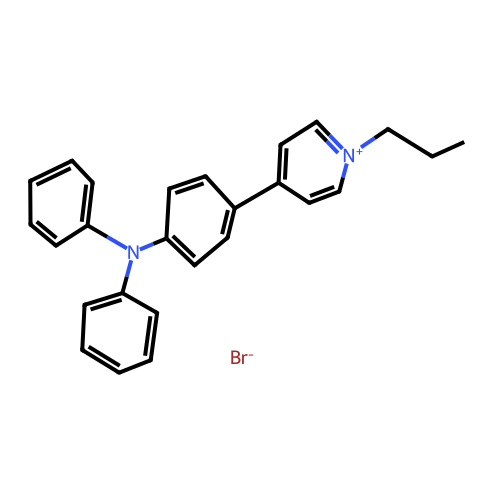 CCC[n+]1ccc(-c2ccc(N(c3ccccc3)c3ccccc3)cc2)cc1.[Br-]